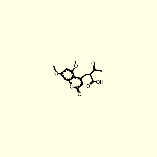 COc1cc(OC)c2c(CC(C(C)=O)C(=O)O)cc(=O)oc2c1